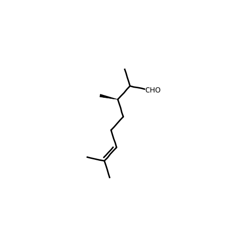 CC(C)=CCC[C@@H](C)C(C)C=O